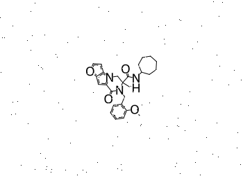 COc1ccccc1CN1C(=O)c2cc3occc3n2CC1(C)C(=O)NC1CCCCCC1